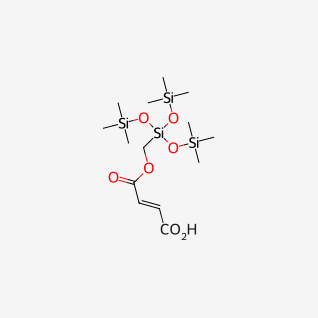 C[Si](C)(C)O[Si](COC(=O)C=CC(=O)O)(O[Si](C)(C)C)O[Si](C)(C)C